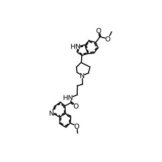 COC(=O)c1ccc2c(C3CCN(CCCNC(=O)c4ccnc5ccc(OC)cc45)CC3)c[nH]c2c1